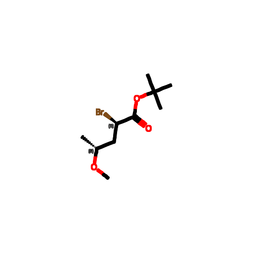 CO[C@H](C)C[C@@H](Br)C(=O)OC(C)(C)C